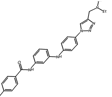 CCN(CC)Cc1cn(-c2ccc(Nc3cccc(NC(=O)c4ccc(OC)cc4)c3)cc2)nn1